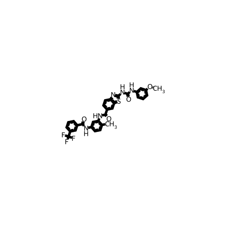 COc1cccc(NC(=O)Nc2nc3ccc(C(=O)Nc4cc(NC(=O)c5cccc(C(F)(F)F)c5)ccc4C)cc3s2)c1